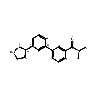 CN(C)C(=O)c1cccc(-c2cccc(C3CCON3)c2)c1